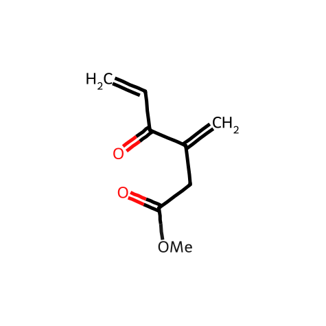 C=CC(=O)C(=C)CC(=O)OC